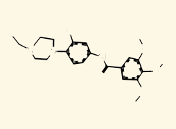 CCN1CCN(c2ccc(NC(=O)c3cc(OC)c(OC)c(OC)c3)cc2Cl)CC1